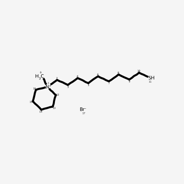 C[N+]1(CCCCCCCCCS)CCCCC1.[Br-]